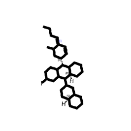 CCC/C=C1/C=C[C@H](C2C3CCC(I)CC3C(C3CC[C@@H]4CCCCC4C3)[C@@H]3CCCCC23)CC1C